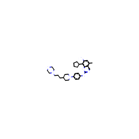 Cc1cc(N)c(C2CCCC2)c2nc(Nc3ccc(N4CCC(CCCN5CCNCC5)CC4)cc3)ncc12